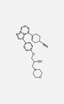 N#CC1CC=C(c2cccn3ncc(-c4ccc(OCC(O)CN5CCOCC5)cc4)c23)CC1